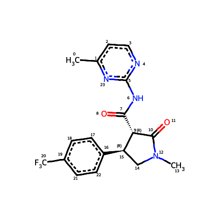 Cc1ccnc(NC(=O)[C@@H]2C(=O)N(C)C[C@H]2c2ccc(C(F)(F)F)cc2)n1